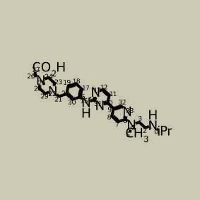 CC(C)NCCN(C)c1ccc(-c2ccnc(Nc3cccc(CN4CCN(CC(=O)O)CC4)c3)n2)cn1